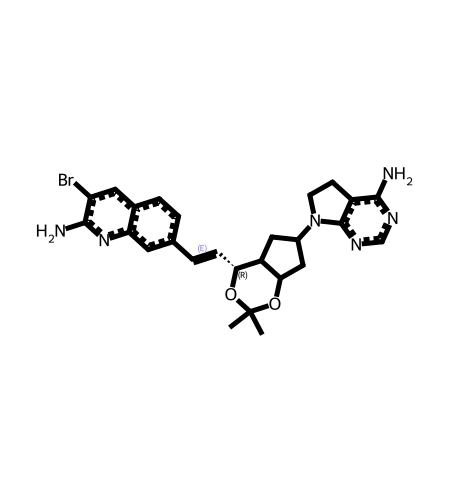 CC1(C)OC2CC(N3CCc4c(N)ncnc43)CC2[C@@H](/C=C/c2ccc3cc(Br)c(N)nc3c2)O1